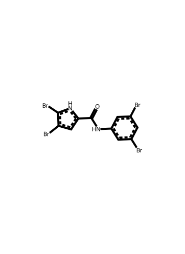 O=C(Nc1cc(Br)cc(Br)c1)c1cc(Br)c(Br)[nH]1